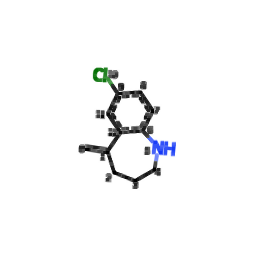 C=C1CCCNc2ccc(Cl)cc21